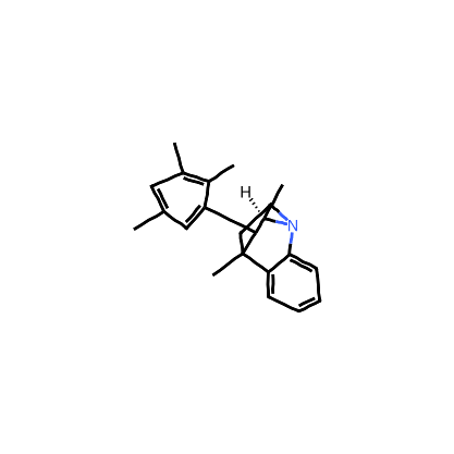 Cc1cc(C)c(C)c(C2[C@@H](C)N3CCC2(C)c2ccccc23)c1